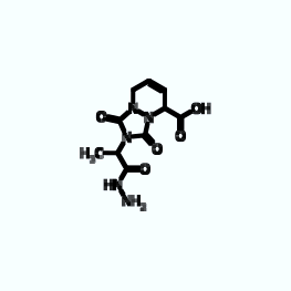 CC(C(=O)NN)n1c(=O)n2n(c1=O)C(C(=O)O)C=CC2